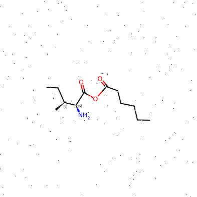 CCCCCC(=O)OC(=O)[C@@H](N)[C@@H](C)CC